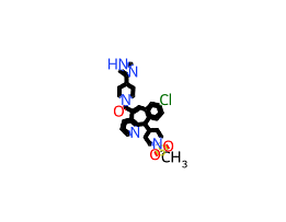 CS(=O)(=O)N1CCC(C2c3ccc(Cl)cc3C=C(C(=O)N3CCC(c4c[nH]cn4)CC3)c3cccnc32)CC1